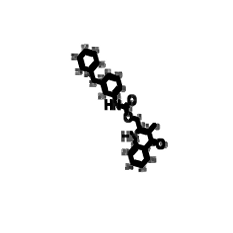 Cc1c(COC(=O)Nc2cccc(Cc3ccccc3)c2)[nH]c2ccccc2c1=O